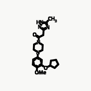 COc1ccc(N2CCN(C(=O)Cc3n[nH]c(C)n3)CC2)cc1OC1CCCC1